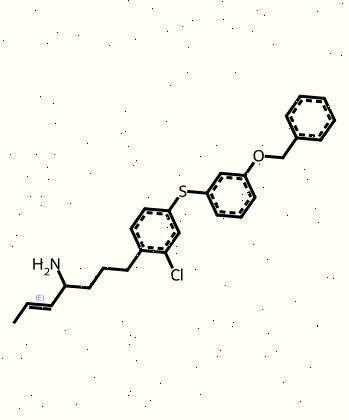 C/C=C/C(N)CCCc1ccc(Sc2cccc(OCc3ccccc3)c2)cc1Cl